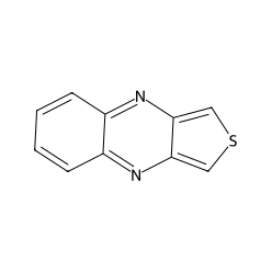 c1ccc2nc3cscc3nc2c1